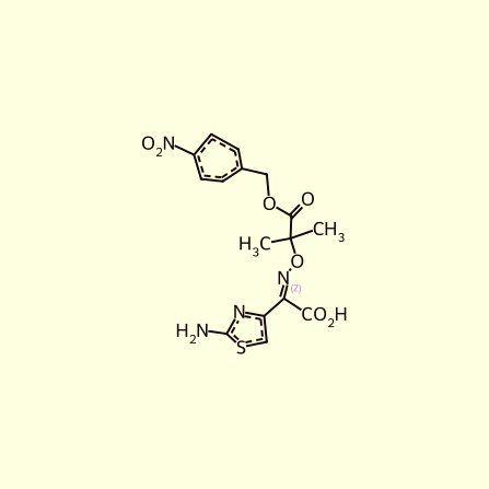 CC(C)(O/N=C(\C(=O)O)c1csc(N)n1)C(=O)OCc1ccc([N+](=O)[O-])cc1